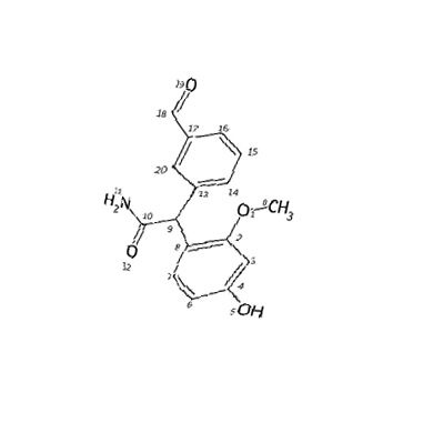 COc1cc(O)ccc1C(C(N)=O)c1cccc(C=O)c1